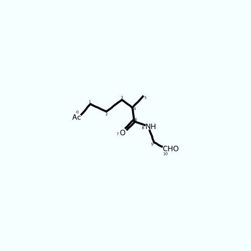 CC(=O)CCCC(C)C(=O)NCC=O